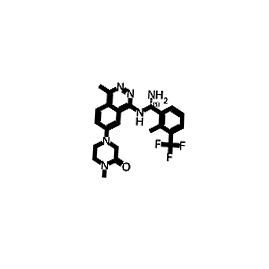 Cc1c([C@@H](N)Nc2nnc(C)c3ccc(N4CCN(C)C(=O)C4)cc23)cccc1C(F)(F)F